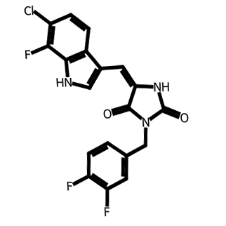 O=C1NC(=Cc2c[nH]c3c(F)c(Cl)ccc23)C(=O)N1Cc1ccc(F)c(F)c1